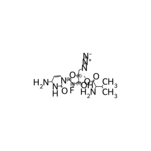 CC(C)C(N)C(=O)OC[C@@]1(CN=[N+]=[N-])O[C@@H](N2C=CC(N)NC2=O)[C@H](F)[C@@H]1O